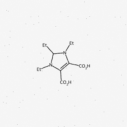 CCC1N(CC)C(C(=O)O)=C(C(=O)O)N1CC